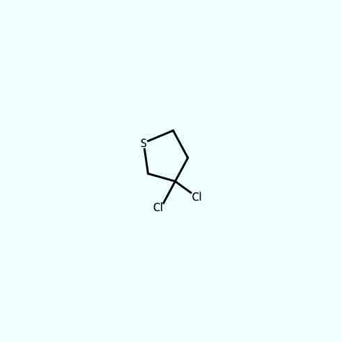 ClC1(Cl)CCSC1